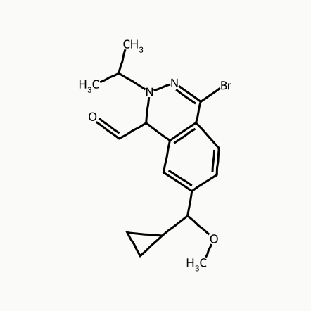 COC(c1ccc2c(c1)C(C=O)N(C(C)C)N=C2Br)C1CC1